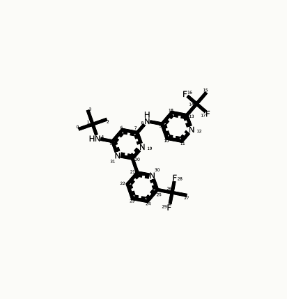 CC(C)(C)Nc1cc(Nc2ccnc(C(C)(F)F)c2)nc(-c2cccc(C(C)(F)F)n2)n1